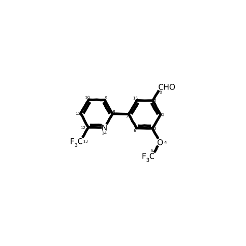 O=Cc1cc(OC(F)(F)F)cc(-c2cccc(C(F)(F)F)n2)c1